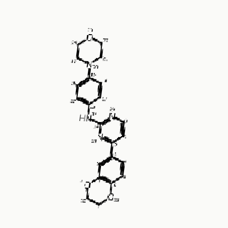 c1cc(-c2ccc3c(c2)OCCO3)nc(Nc2ccc(N3CCOCC3)cc2)n1